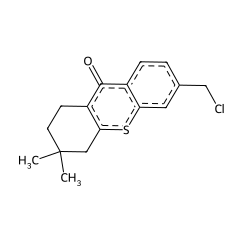 CC1(C)CCc2c(sc3cc(CCl)ccc3c2=O)C1